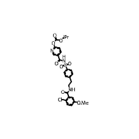 COc1ccc(Cl)c(C(=O)NCCc2ccc(S(=O)(=O)NC(=O)c3ccc(OC(=O)OC(C)C)nc3)cc2)c1